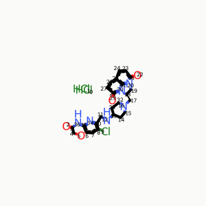 Cl.Cl.O=C1COc2cc(Cl)c(CNC3CCN(C[C@@H]4Cn5c(=O)ccc6ccc(=O)n4c65)CC3)nc2N1